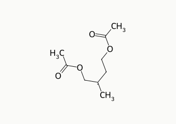 C[C](CCOC(C)=O)COC(C)=O